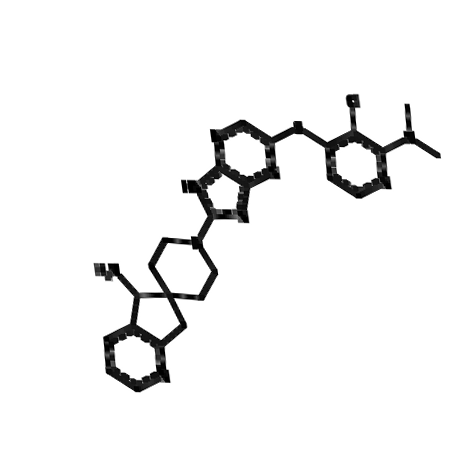 CN(C)c1nccc(Sc2cnc3[nH]c(N4CCC5(CC4)Cc4ncccc4C5N)nc3n2)c1Cl